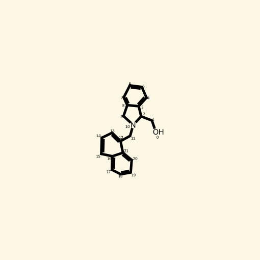 OCC1c2ccccc2CN1Cc1cccc2ccccc12